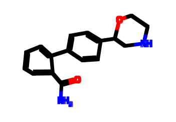 NC(=O)c1ccccc1-c1ccc(C2CNCCO2)cc1